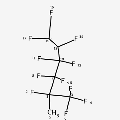 CC(F)(C(F)(F)F)C(F)(F)C(F)(F)C(F)[C](F)F